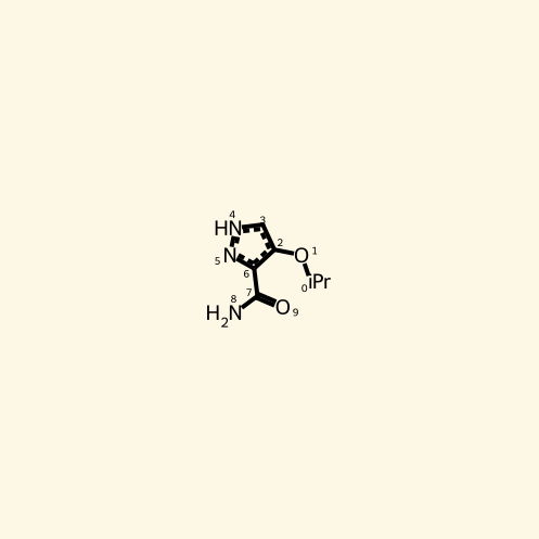 CC(C)Oc1c[nH]nc1C(N)=O